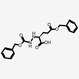 O=C(CC[C@H](NNC(=O)OCc1ccccc1)C(=O)O)OCc1ccccc1